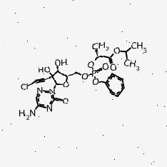 CC(C)OC(=O)[C@H](C)O[P@](=O)(OC[C@H]1O[C@@H](n2ncc(N)nc2=O)C(O)(C#CCl)[C@H]1O)Oc1ccccc1